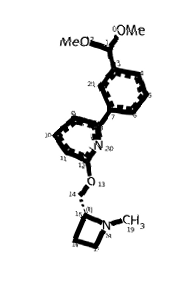 COC(OC)c1cccc(-c2cccc(OC[C@H]3CCN3C)n2)c1